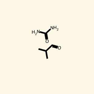 CC(C)C=O.NC(N)=O